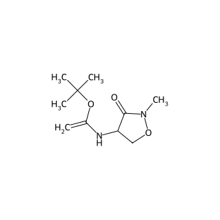 C=C(NC1CON(C)C1=O)OC(C)(C)C